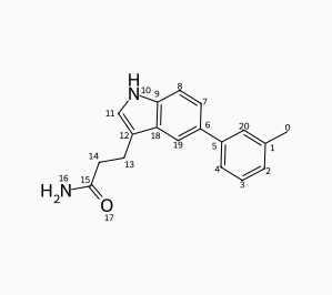 Cc1cccc(-c2ccc3[nH]cc(CCC(N)=O)c3c2)c1